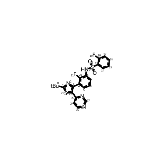 CC(C)(C)c1nc(-c2cccc(NS(=O)(=O)c3ccccc3F)c2F)c(-c2ccncn2)s1